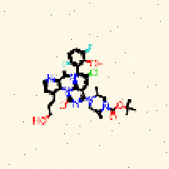 CC(C)c1nccc(CCCO)c1-n1c(=O)nc(N2CC(C)N(C(=O)OC(C)(C)C)CC2C)c2cc(Cl)c(-c3c(F)ccc(F)c3O)nc21